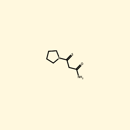 NC(=O)CC(=S)N1CCCC1